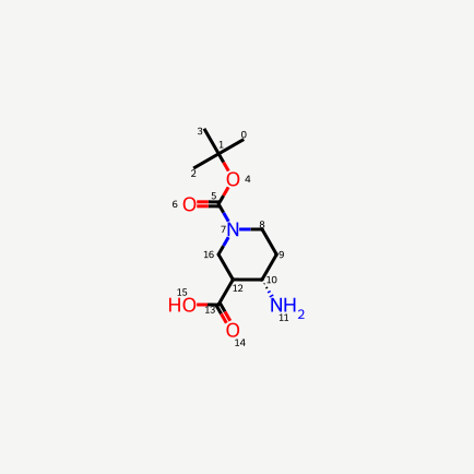 CC(C)(C)OC(=O)N1CC[C@H](N)C(C(=O)O)C1